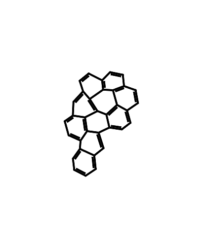 c1ccc2c(c1)cc1c3ccc4ccc5ccc6ccc7cc8ccc2c1c8c1c7c6c5c4c31